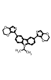 CC(C)n1c2ccc(-c3scc4c3OCCO4)cc2c2cc(-c3scc4c3OCCO4)ccc21